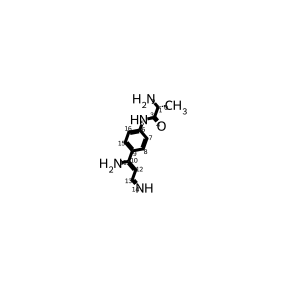 C[C@@H](N)C(=O)Nc1ccc(/C(N)=C/C=N)cc1